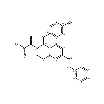 CC(C)C(=O)N1CCc2cc(OCc3ccccc3)ccc2C1Cc1ccc(O)cc1